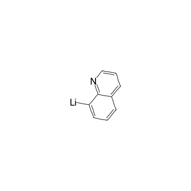 [Li][c]1cccc2cccnc12